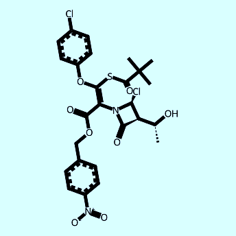 C[C@@H](O)[C@H]1C(=O)N(C(C(=O)OCc2ccc([N+](=O)[O-])cc2)=C(Oc2ccc(Cl)cc2)SC(=O)C(C)(C)C)[C@H]1Cl